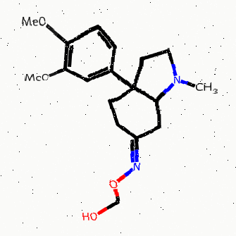 COc1ccc(C23CCC(=NOCO)CC2N(C)CC3)cc1OC